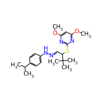 COc1cc(OC)nc(SC(/C=N/Nc2ccc(C(C)C)cc2)C(C)(C)C)n1